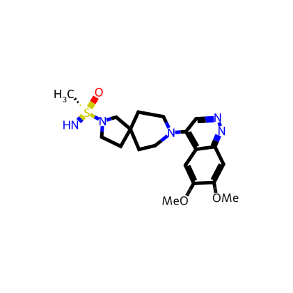 COc1cc2nncc(N3CCC4(CC3)CCN([S@@](C)(=N)=O)C4)c2cc1OC